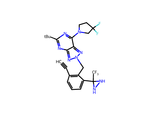 C#Cc1cccc(C2(C(F)(F)F)NN2)c1Cn1nc2nc(C(C)(C)C)nc(N3CCC(F)(F)C3)c2n1